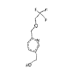 OCc1ccc(COCC(F)(F)F)nc1